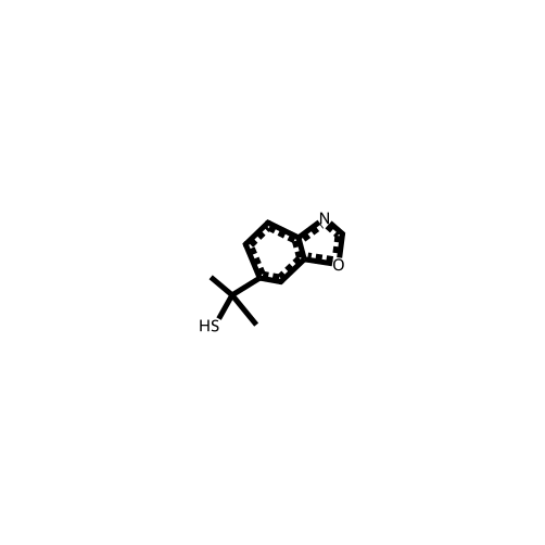 CC(C)(S)c1ccc2ncoc2c1